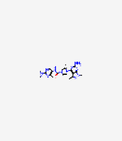 Cc1nc(N(C)C)ncc1NC(=O)N1CCN(c2nc(N)nc3c2c(C)nn3C)[C@@H](C)C1